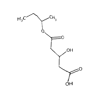 CCC(C)OC(=O)CC(O)CC(=O)O